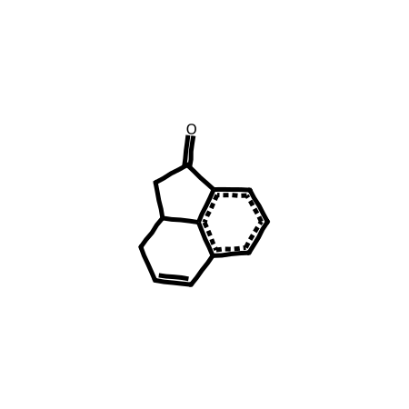 O=C1CC2CC=Cc3cccc1c32